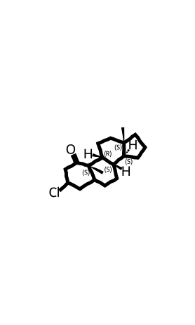 C[C@@]12CCC[C@H]1[C@@H]1CCC3CC(Cl)CC(=O)[C@]3(C)[C@@H]1CC2